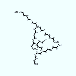 COCCOCOCCN(CCOCOCCOC)CCOCOC(COC)C(CCO)OCN(CCOCCO)CCOCOO